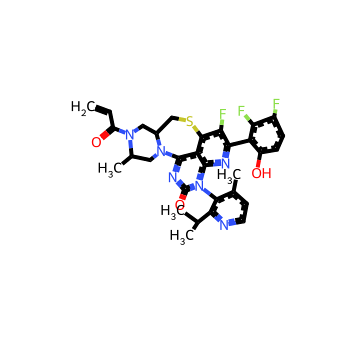 C=CC(=O)N1CC2CSc3c(F)c(-c4c(O)ccc(F)c4F)nc4c3c(nc(=O)n4-c3c(C)ccnc3C(C)C)N2CC1C